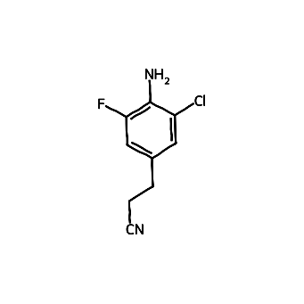 N#CCCc1cc(F)c(N)c(Cl)c1